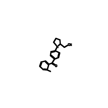 Cc1ccccc1C(=O)c1ccc(N2CCCC2CC#N)cc1